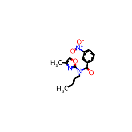 CCCCN(C(=O)c1cccc([N+](=O)[O-])c1)c1nc(C)co1